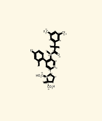 Cc1cc(F)ccc1-c1cc([C@@H]2CC[C@](C)(C(=O)O)N2C(=O)O)ncc1N(C)C(=O)C(C)(C)c1cc(C(F)(F)F)cc(C(F)(F)F)c1